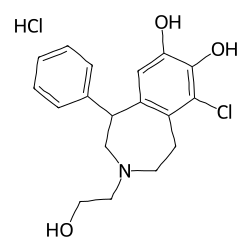 Cl.OCCN1CCc2c(cc(O)c(O)c2Cl)C(c2ccccc2)C1